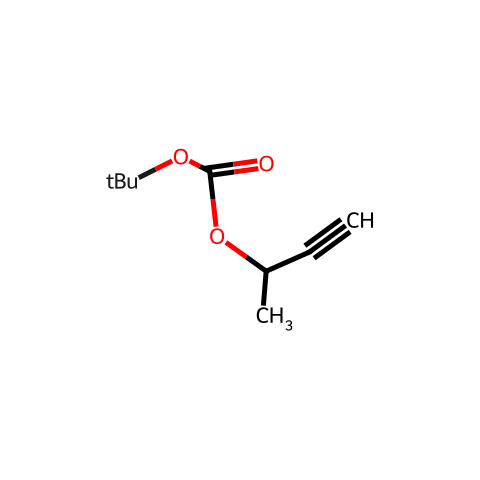 C#CC(C)OC(=O)OC(C)(C)C